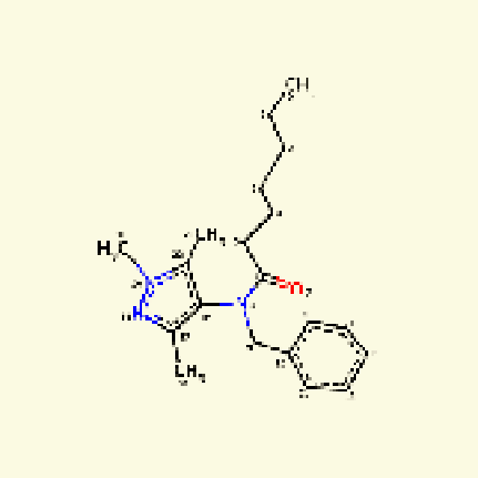 CCCCCCC(=O)N(Cc1ccccc1)c1c(C)nn(C)c1C